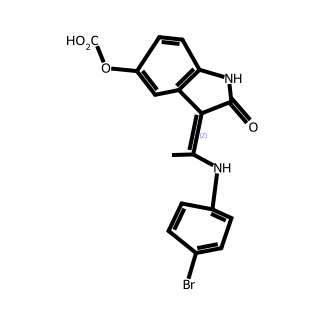 C/C(Nc1ccc(Br)cc1)=C1/C(=O)Nc2ccc(OC(=O)O)cc21